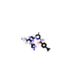 C[C@H]1C[C@@H](NC(=O)c2ccc(C3CC3)cc2)CN(c2cnc(C(N)=O)c(Nc3cnn(C)c3)n2)C1